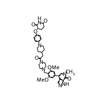 COc1cc(-c2cn(C)c(=O)c3[nH]ncc23)cc(OC)c1CN1CCN(C(=O)CC2CCN(c3ccc(OC4CCC(=O)NC4=O)cc3)CC2)CC1